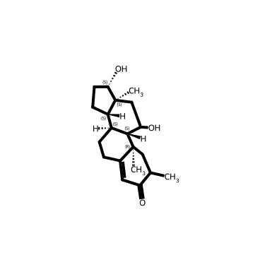 CC1C[C@@]2(C)C(=CC1=O)CC[C@H]1[C@@H]3CC[C@H](O)[C@@]3(C)CC(O)[C@@H]12